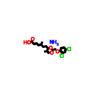 C=C(C)C(CC/C(C)=C/C=C/C(=O)O)OC(=O)COc1ccc(Cl)cc1Cl.N